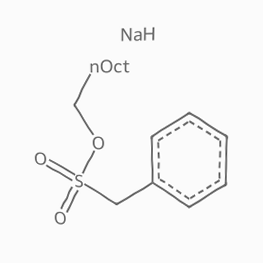 CCCCCCCCCOS(=O)(=O)Cc1ccccc1.[NaH]